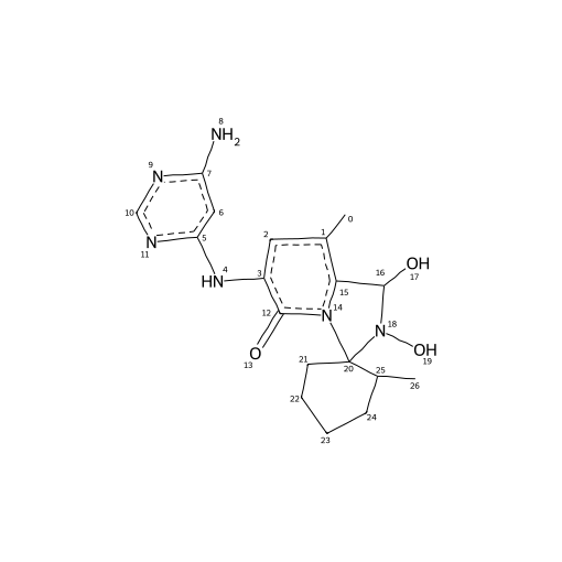 Cc1cc(Nc2cc(N)ncn2)c(=O)n2c1C(O)N(O)C21CCCCC1C